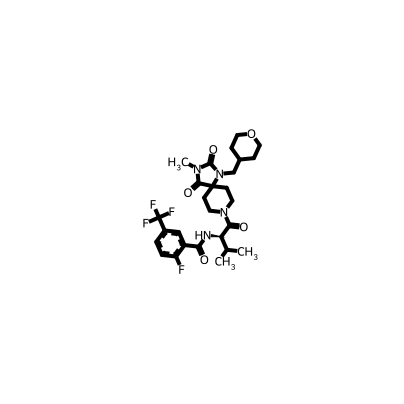 CC(C)[C@@H](NC(=O)c1cc(C(F)(F)F)ccc1F)C(=O)N1CCC2(CC1)C(=O)N(C)C(=O)N2CC1CCOCC1